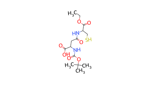 CCOC(=O)C(CS)NC(=O)CC(NC(=O)OC(C)(C)C)C(=O)O